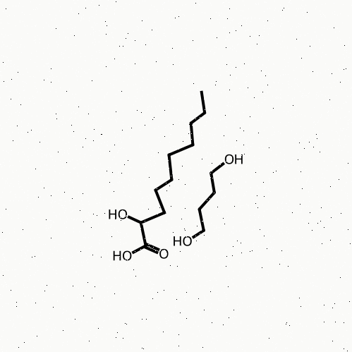 CCCCCCCCC(O)C(=O)O.OCCCCO